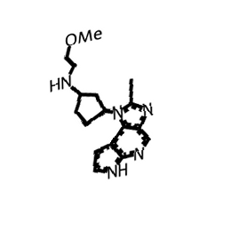 COCCNC1CCC(n2c(C)nc3cnc4[nH]ccc4c32)C1